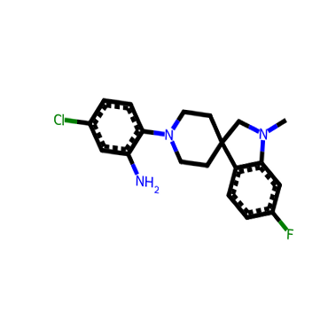 CN1CC2(CCN(c3ccc(Cl)cc3N)CC2)c2ccc(F)cc21